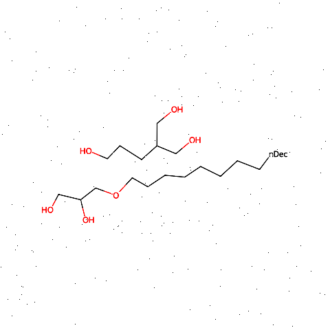 CCCCCCCCCCCCCCCCCCOCC(O)CO.OCCCC(CO)CO